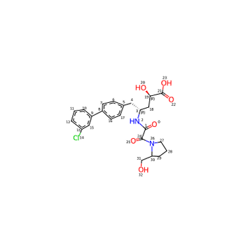 O=C(N[C@H](Cc1ccc(-c2cccc(Cl)c2)cc1)C[C@@H](O)C(=O)O)C(=O)N1CCCC1CO